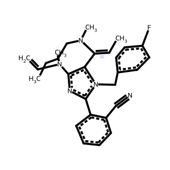 C=CN(C)c1nc(-c2ccccc2C#N)n(Cc2ccc(F)cc2)c1/C(=C/C)N(C)CCCC